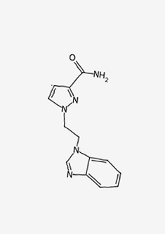 NC(=O)c1[c]cn(CCn2cnc3ccccc32)n1